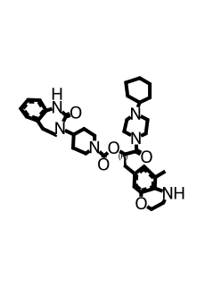 Cc1cc(C[C@@H](OC(=O)N2CCC(N3CCc4ccccc4NC3=O)CC2)C(=O)N2CCN(C3CCCCC3)CC2)cc2c1NCCO2